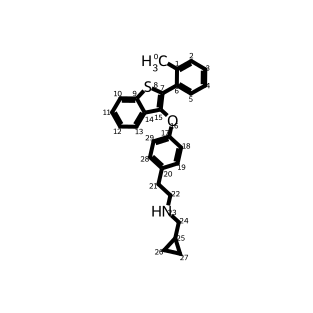 Cc1ccccc1-c1sc2ccccc2c1Oc1ccc(CCNCC2CC2)cc1